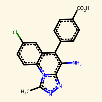 Cc1nnc2c(N)c(-c3ccc(C(=O)O)cc3)c3cc(Cl)ccc3n12